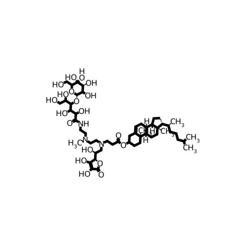 CC(C)CCC[C@@H](C)[C@H]1CC[C@H]2[C@@H]3CC=C4CC(OC(=O)CCN(CCN(C)CCNC(=O)C(O)C(O)C(O[C@@H]5OC(CO)C(O)(O)[C@H](O)C5O)C(O)CO)C[C@H](O)[C@H]5OC(=O)C(O)=C5O)CC[C@]4(C)[C@H]3CC[C@]12C